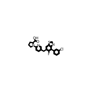 O=C(O)C1CCCN1c1ccc(Cc2cc3scnc3c(-c3cccc(Cl)c3)c2F)cn1